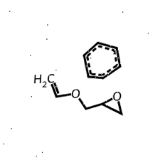 C=COCC1CO1.c1ccccc1